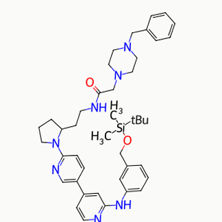 CC(C)(C)[Si](C)(C)OCc1cccc(Nc2cc(-c3ccc(N4CCCC4CCNC(=O)CN4CCN(Cc5ccccc5)CC4)nc3)ccn2)c1